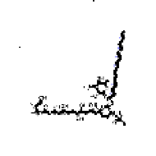 C/C=C/C=C/C=C/C=C/CC/C=C/C=C/[C@@H](C[C@@H]1O[C@](O)(C[C@@H](O)C[C@@H](O)[C@H](O)CC[C@@H](O)C[C@@H](O)CC(=O)O[C@@H](C)[C@H](C)CO)CC[C@H]1NC(=O)NC)OC1OC(C)C(O)C(N)C1O